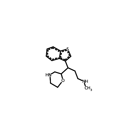 CNCCC(c1csc2ccccc12)C1CNCCO1